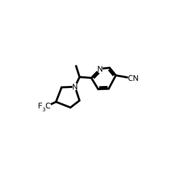 CC(c1ccc(C#N)cn1)N1CCC(C(F)(F)F)C1